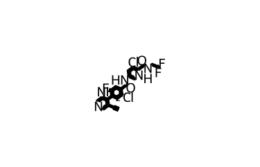 C#Cc1cncc(N)c1-c1cc(Cl)c(C(=O)Nc2cnc(C(=O)NCC(F)F)c(Cl)c2)cc1F